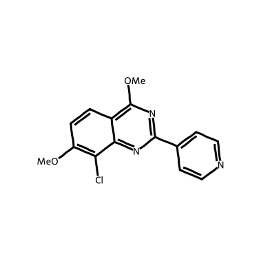 COc1ccc2c(OC)nc(-c3ccncc3)nc2c1Cl